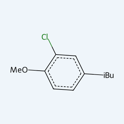 CCC(C)c1ccc(OC)c(Cl)c1